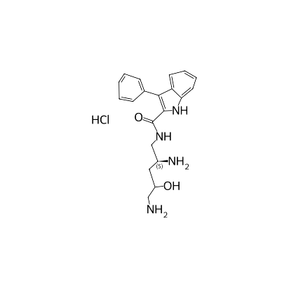 Cl.NCC(O)C[C@H](N)CNC(=O)c1[nH]c2ccccc2c1-c1ccccc1